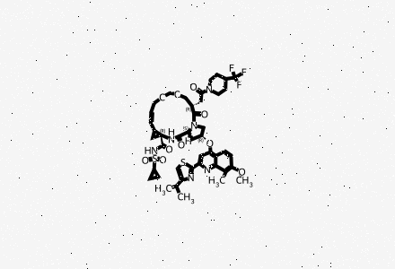 COc1ccc2c(O[C@@H]3C[C@H]4C(=O)N[C@]5(C(=O)NS(=O)(=O)C6CC6)CC5C=CCCCCC[C@H](CC(=O)N5CCC(C(F)(F)F)CC5)C(=O)N4C3)cc(-c3nc(C(C)C)cs3)nc2c1C